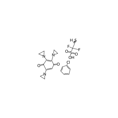 Clc1ccccc1.O=C1C=C(N2CC2)C(=O)C(N2CC2)=C1N1CC1.O=S(=O)(O)C(F)(F)F.S